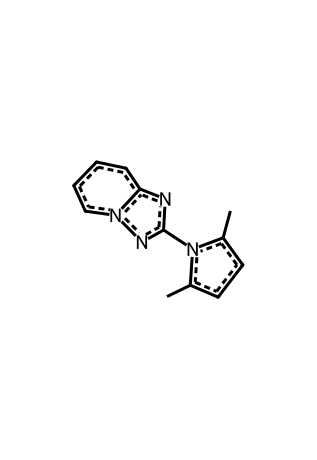 Cc1ccc(C)n1-c1nc2ccccn2n1